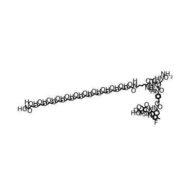 Cc1c(F)cc2nc3c(c4c2c1CC[C@@H]4NC(=O)OCc1ccc(NC(=O)[C@H](CCCNC(N)=O)NC(=O)[C@@H](NC(=O)[C@@H](N)CCCCNC(=O)C(O)COCC(O)COCC(O)COCC(O)COCC(O)COCC(O)COCC(O)COCC(O)COCC(O)COCC(O)COCC(O)COCC(O)C(=O)NO)C(C)C)cc1)Cn1c-3cc2c(c1=O)COC(=O)[C@]2(O)[C@@H](C)[SiH3]